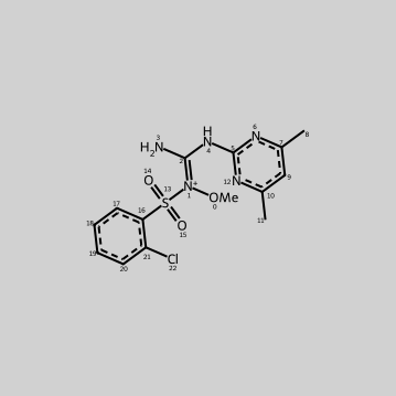 CO[N+](=C(N)Nc1nc(C)cc(C)n1)S(=O)(=O)c1ccccc1Cl